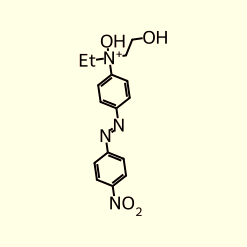 CC[N+](O)(CCO)c1ccc(N=Nc2ccc([N+](=O)[O-])cc2)cc1